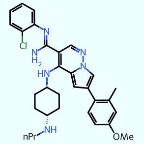 CCCN[C@H]1CC[C@H](Nc2c(/C(N)=N/c3ccccc3Cl)cnn3cc(-c4ccc(OC)cc4C)cc23)CC1